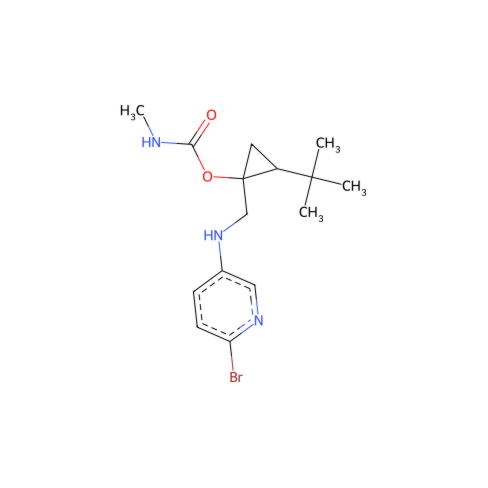 CNC(=O)OC1(CNc2ccc(Br)nc2)CC1C(C)(C)C